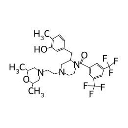 Cc1ccc(CC2CN(CCN3CC(C)OC(C)C3)CCN2C(=O)c2cc(C(F)(F)F)cc(C(F)(F)F)c2)cc1O